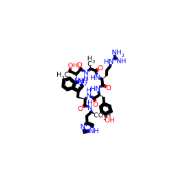 CC(O)[C@@H](N)C(=O)N[C@H](C)C(=O)N[C@H](CCCNC(=N)N)C(=O)N[C@H](Cc1ccc(O)cc1)C(=O)N[C@H](Cc1c[nH]c2ccccc12)C(=O)N[C@H](Cc1c[nH]cn1)C(=O)O